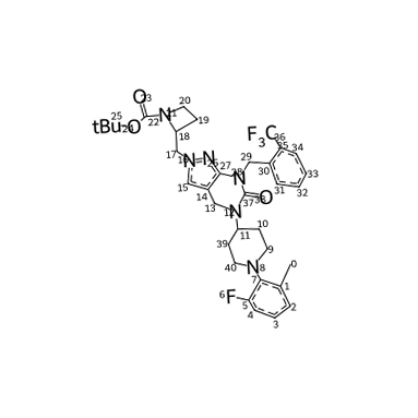 Cc1cccc(F)c1N1CCC(N2Cc3cn(CC4CCN4C(=O)OC(C)(C)C)nc3N(Cc3ccccc3C(F)(F)F)C2=O)CC1